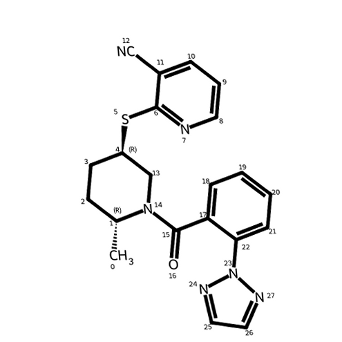 C[C@@H]1CC[C@@H](Sc2ncccc2C#N)CN1C(=O)c1ccccc1-n1nccn1